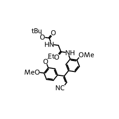 CCOc1cc(/C(=C\C#N)c2ccc(OC)c(NC(=O)CNC(=O)OC(C)(C)C)c2)ccc1OC